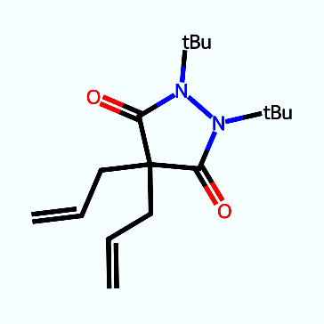 C=CCC1(CC=C)C(=O)N(C(C)(C)C)N(C(C)(C)C)C1=O